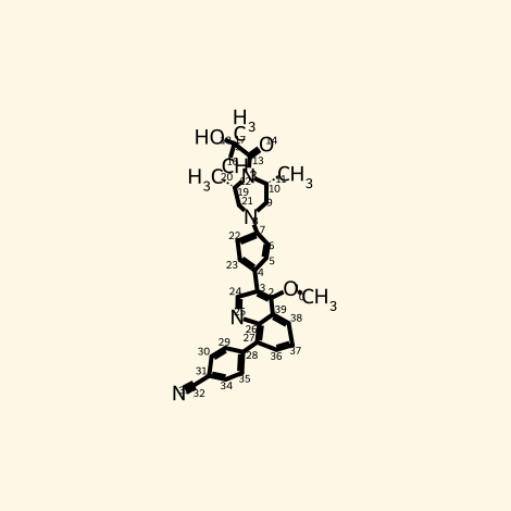 COc1c(-c2ccc(N3C[C@@H](C)N(C(=O)C(C)(C)O)[C@@H](C)C3)cc2)cnc2c(-c3ccc(C#N)cc3)cccc12